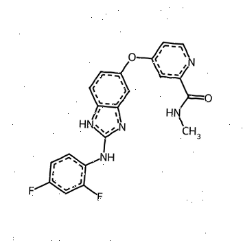 CNC(=O)c1cc(Oc2ccc3[nH]c(Nc4ccc(F)cc4F)nc3c2)ccn1